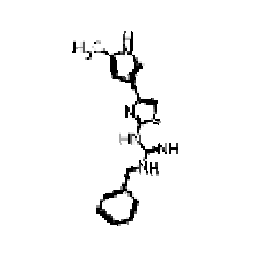 Cc1cc(-c2csc(NC(=N)NCc3ccccc3)n2)c[nH]1